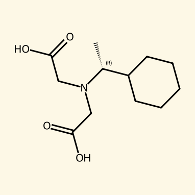 C[C@H](C1CCCCC1)N(CC(=O)O)CC(=O)O